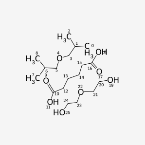 CC(C)COCC(C)C.O=C(O)CCCCC(=O)O.OCCOCCO